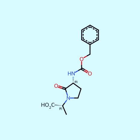 C[C@H](C(=O)O)N1CC[C@@H](NC(=O)OCc2ccccc2)C1=O